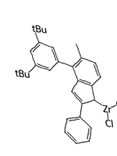 Cc1ccc2c(c1-c1cc(C(C)(C)C)cc(C(C)(C)C)c1)C=C(c1ccccc1)[CH]2[Zr]([Cl])[Cl]